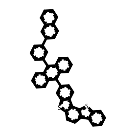 c1cc(-c2ccc3ccccc3c2)cc(-c2c3ccccc3c(-c3ccc4c(c3)sc3ccc5c6ccccc6sc5c34)c3ccccc23)c1